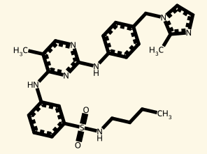 CCCCNS(=O)(=O)c1cccc(Nc2nc(Nc3ccc(Cn4ccnc4C)cc3)ncc2C)c1